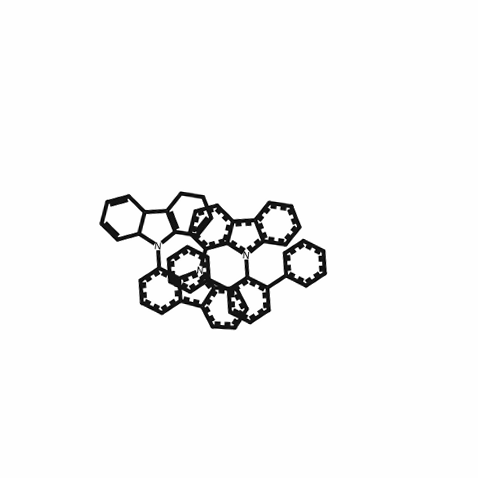 C1=CC2C3=C(C=CCC3)N(c3cccc4c5ccccc5n(-c5cccc6c7ccccc7n(-c7c(-c8ccccc8)cccc7-c7ccccc7)c56)c34)C2C=C1